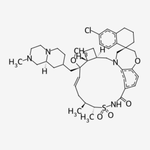 CO[C@@]1(CC2CCN3CCN(C)C[C@@H]3C2)/C=C/C[C@H](C)[C@@H](C)S(=O)(=O)NC(=O)c2ccc3c(c2)N(C[C@@H]2CC[C@H]21)C[C@@]1(CCCc2cc(Cl)ccc21)CO3